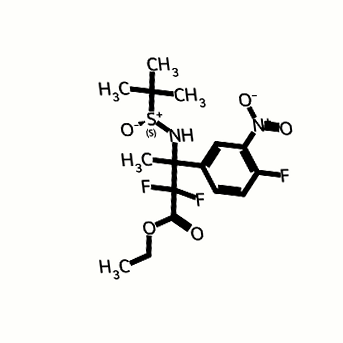 CCOC(=O)C(F)(F)C(C)(N[S@+]([O-])C(C)(C)C)c1ccc(F)c([N+](=O)[O-])c1